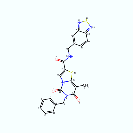 Cc1c(=O)n(Cc2ccccc2)c(=O)n2cc(C(=O)NCc3ccc4nsnc4c3)sc12